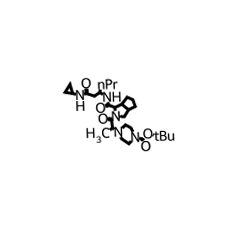 CCCC(CC(=O)NC1CC1)NC(=O)C1C2CCCC2CN1C(=O)C(C)N1CCN(C(=O)OC(C)(C)C)CC1